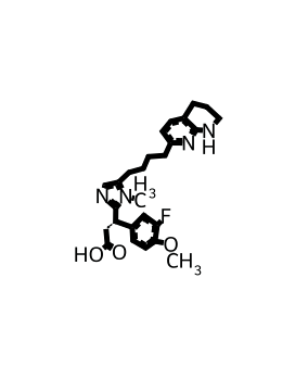 COc1ccc([C@H](CC(=O)O)c2ncc(CCCCc3ccc4c(n3)NCCC4)n2C)cc1F